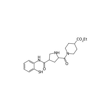 CCOC(=O)C1CCN(C(=O)C2CC(C(=O)Nc3ccccc3S)CN2)CC1